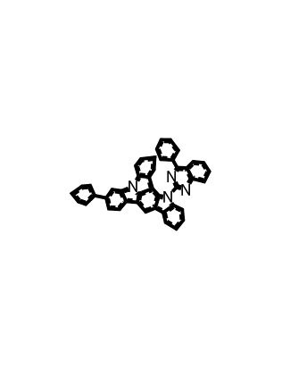 c1ccc(-c2ccc3c4cc5c6ccccc6n(-c6nc(-c7ccccc7)c7ccccc7n6)c5c5c6ccccc6n(c3c2)c45)cc1